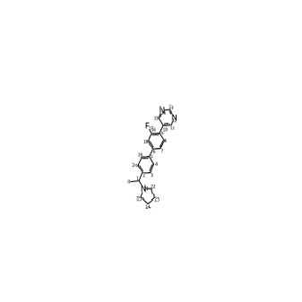 CC(c1ccc(-c2ccc(-c3cncnc3)c(F)c2)cc1)N1CCCC1